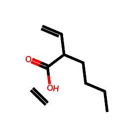 C=C.C=CC(CCCC)C(=O)O